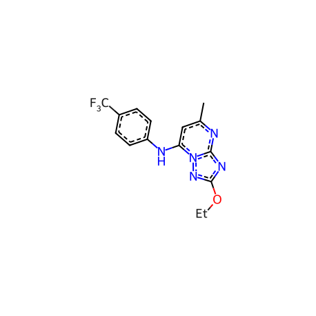 CCOc1nc2nc(C)cc(Nc3ccc(C(F)(F)F)cc3)n2n1